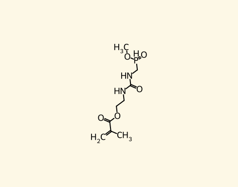 C=C(C)C(=O)OCCNC(=O)NC[PH](=O)OC